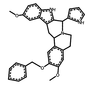 COc1ccc2[nH]c3c(c2c1)CC1c2cc(OCc4ccccc4)c(OC)cc2CCN1C3c1ccc[nH]1